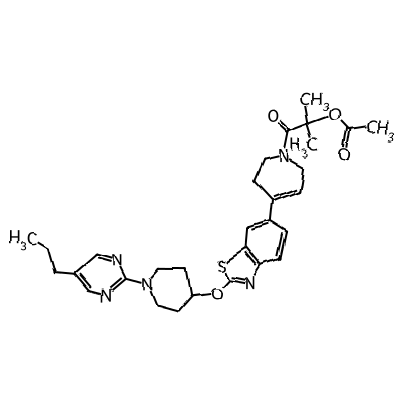 CCCc1cnc(N2CCC(Oc3nc4ccc(C5=CCN(C(=O)C(C)(C)OC(C)=O)CC5)cc4s3)CC2)nc1